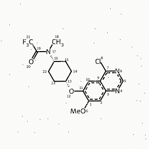 COc1cc2ncnc(Cl)c2cc1O[C@H]1CC[C@@H](N(C)C(=O)C(F)(F)F)CC1